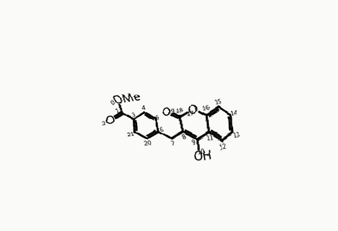 COC(=O)c1ccc(Cc2c(O)c3ccccc3oc2=O)cc1